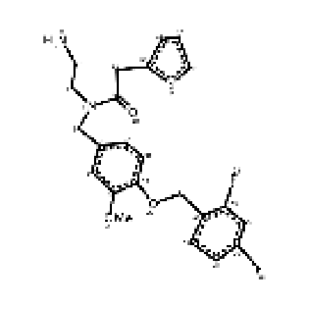 COc1cc(CN(CCN)C(=O)Cc2cccs2)ccc1OCc1ccc(F)cc1F